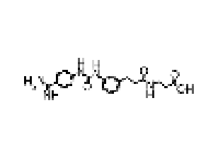 N=C(N)c1ccc(NC(=O)Nc2cccc(CCC(=O)NCCC(=O)O)c2)cc1